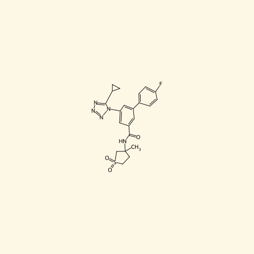 CC1(NC(=O)c2cc(-c3ccc(F)cc3)cc(-n3nnnc3C3CC3)c2)CCS(=O)(=O)C1